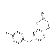 CC(C)[C@H]1COc2ncc(Cc3ccc(F)cc3)cc2N1